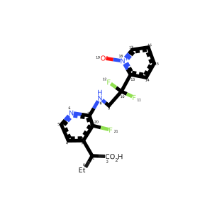 CCC(C(=O)O)c1ccnc(NCC(F)(F)c2cccc[n+]2[O-])c1F